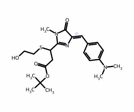 CN1C(=O)/C(=C/c2ccc(N(C)C)cc2)N=C1C(CC(=O)OC(C)(C)C)SCCO